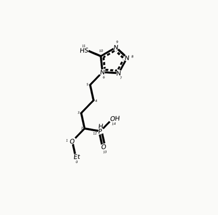 CCOC(CCCn1nnnc1S)[PH](=O)O